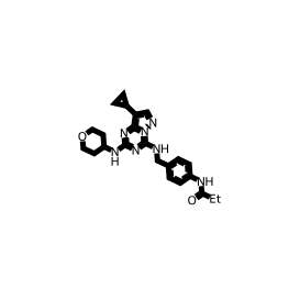 CCC(=O)Nc1ccc(CNc2nc(NC3CCOCC3)nc3c(C4CC4)cnn23)cc1